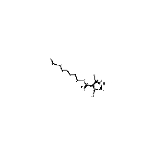 CCCCCCCCCC(=O)c1c(C)c[nH]c1C